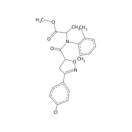 COC(=O)C(C)N(C(=O)C1CC(c2ccc(Cl)cc2)=NO1)c1c(C)cccc1C